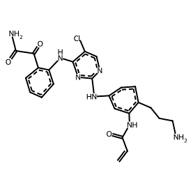 C=CC(=O)Nc1cc(Nc2ncc(Cl)c(Nc3ccccc3C(=O)C(N)=O)n2)ccc1CCCN